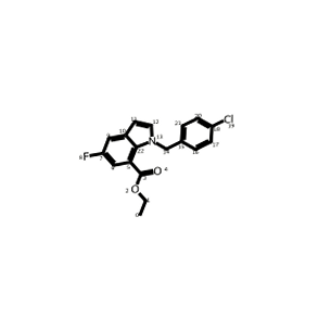 CCOC(=O)c1cc(F)cc2ccn(Cc3ccc(Cl)cc3)c12